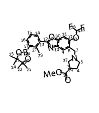 COC(=O)[C@@H]1CCN(Cc2cc3nc(-c4cccc(B5OC(C)(C)C(C)(C)O5)c4C)oc3cc2OC(F)F)C1